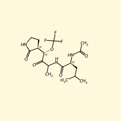 CC(=O)N[C@@H](CC(C)C)C(=O)NC(C)C(=O)[C@@H](OC(F)(F)F)[C@@H]1CCNC1=O